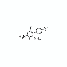 Cc1c(N)cc(F)c(-c2ccc(C(C)(C)C)cc2)c1N